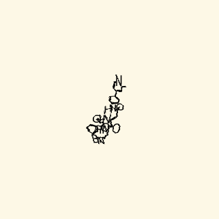 Cc1cc(-c2ccc3nc(CC(NS(=O)(=O)c4cccc(Br)c4)C(=O)NCC#N)oc3c2)ccn1